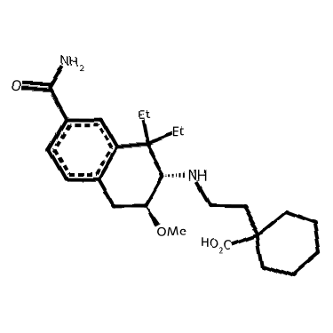 CCC1(CC)c2cc(C(N)=O)ccc2C[C@H](OC)[C@H]1NCCC1(C(=O)O)CCCCC1